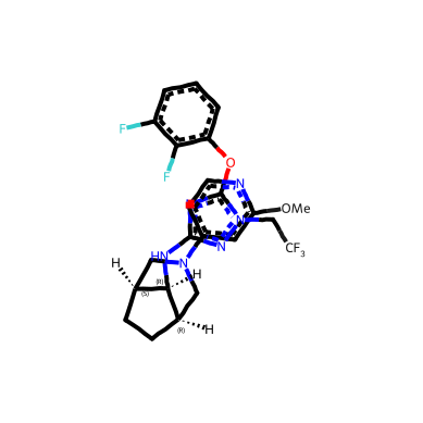 COc1cc(N2C[C@H]3CC[C@@H](C2)[C@H]3Nc2nc(Oc3cccc(F)c3F)n(CC(F)(F)F)n2)ccn1